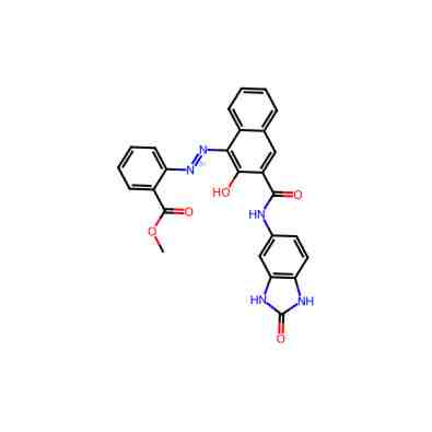 COC(=O)c1ccccc1/N=N/c1c(O)c(C(=O)Nc2ccc3[nH]c(=O)[nH]c3c2)cc2ccccc12